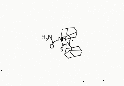 NC(=O)NC(=S)N(C12CC3CC(CC(C3)C1)C2)C12CC3CC(CC(C3)C1)C2